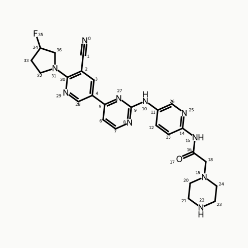 N#Cc1cc(-c2ccnc(Nc3ccc(NC(=O)CN4CCNCC4)nc3)n2)cnc1N1CCC(F)C1